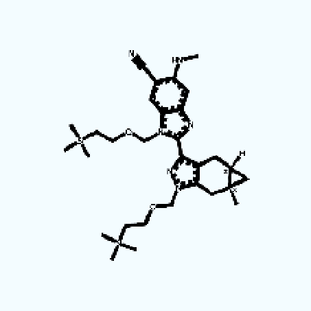 CNc1cc2nc(-c3nn(COCC[Si](C)(C)C)c4c3C[C@@H]3C[C@]3(C)C4)n(COCC[Si](C)(C)C)c2cc1C#N